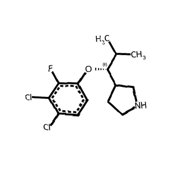 CC(C)[C@@H](Oc1ccc(Cl)c(Cl)c1F)C1CCNC1